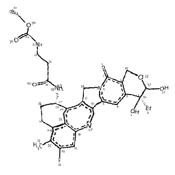 CC[C@]1(O)c2cc3n(c(=O)c2COC1O)Cc1c-3nc2cc(F)c(C)c3c2c1[C@@H](NC(=O)CCNC(=O)OC(C)(C)C)CC3